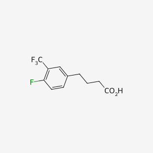 O=C(O)CCCc1ccc(F)c(C(F)(F)F)c1